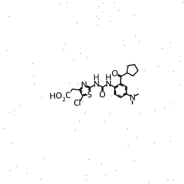 CN(C)c1ccc(NC(=O)Nc2nc(CC(=O)O)c(Cl)s2)c(C(=O)C2CCCC2)c1